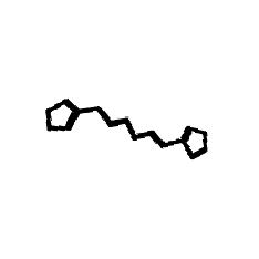 C1=C(CCCCCCC2=CCCC2)CCC1